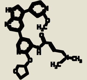 COc1cc(-c2c[nH]c3ncc(-c4cnc(OC5CCOC5)c(NC(=O)/C=C/CN(C)C)c4)cc23)ccn1